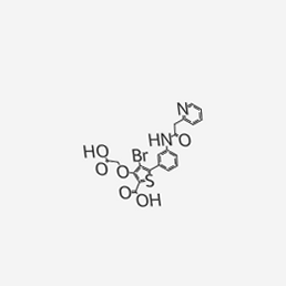 O=C(O)COc1c(C(=O)O)sc(-c2cccc(NC(=O)Cc3ccccn3)c2)c1Br